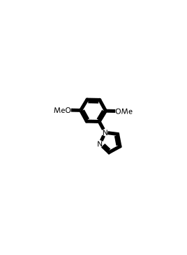 COc1ccc(OC)c(-n2cc[c]n2)c1